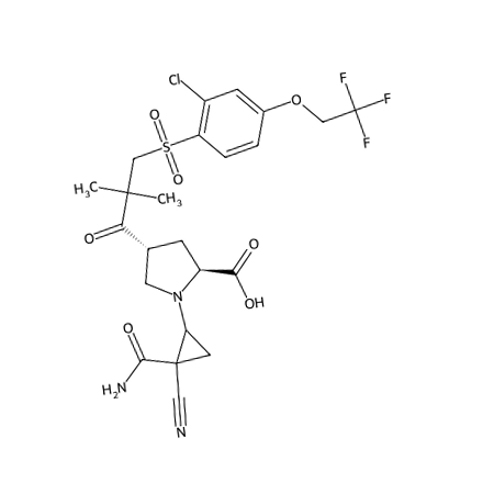 CC(C)(CS(=O)(=O)c1ccc(OCC(F)(F)F)cc1Cl)C(=O)[C@@H]1C[C@@H](C(=O)O)N(C2CC2(C#N)C(N)=O)C1